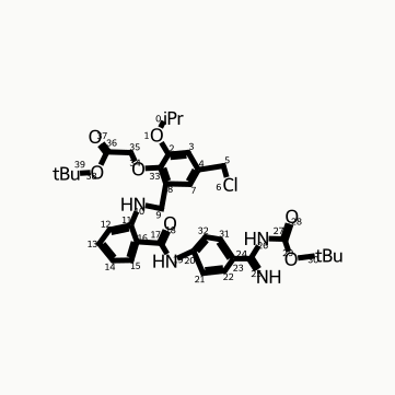 CC(C)Oc1cc(CCl)cc(CNc2ccccc2C(=O)Nc2ccc(C(=N)NC(=O)OC(C)(C)C)cc2)c1OCC(=O)OC(C)(C)C